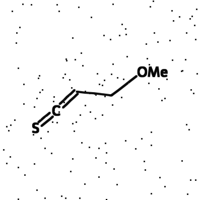 COCC=C=S